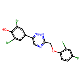 Oc1c(Br)cc(-c2cnc(COc3ccc(F)cc3F)nn2)cc1Br